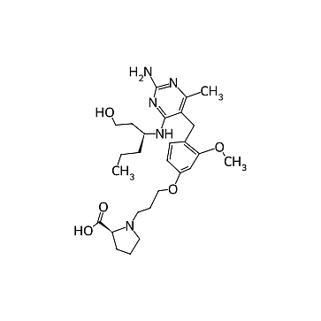 CCC[C@@H](CCO)Nc1nc(N)nc(C)c1Cc1ccc(OCCCN2CCC[C@H]2C(=O)O)cc1OC